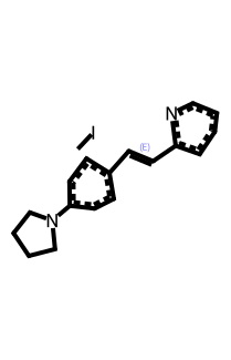 C(=C\c1ccccn1)/c1ccc(N2CCCC2)cc1.CI